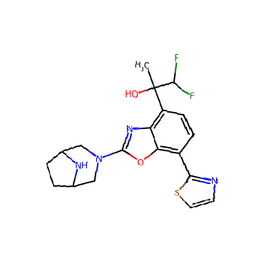 CC(O)(c1ccc(-c2nccs2)c2oc(N3CC4CCC(C3)N4)nc12)C(F)F